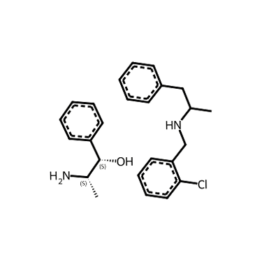 CC(Cc1ccccc1)NCc1ccccc1Cl.C[C@H](N)[C@@H](O)c1ccccc1